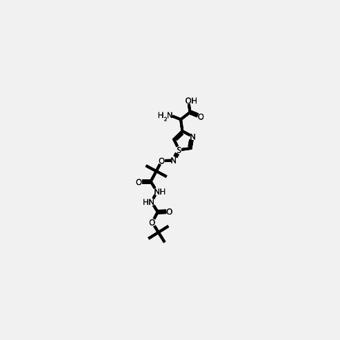 CC(C)(C)OC(=O)NNC(=O)C(C)(C)ON=S1C=NC(C(N)C(=O)O)=C1